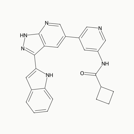 O=C(Nc1cncc(-c2cnc3[nH]nc(-c4cc5ccccc5[nH]4)c3c2)c1)C1CCC1